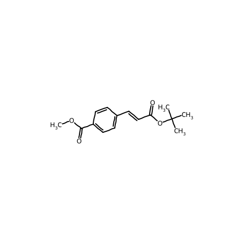 COC(=O)c1ccc(C=CC(=O)OC(C)(C)C)cc1